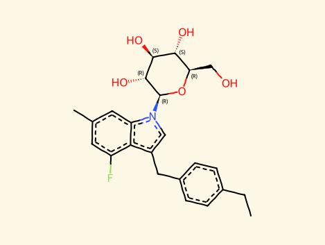 CCc1ccc(Cc2cn([C@@H]3O[C@H](CO)[C@@H](O)[C@H](O)[C@H]3O)c3cc(C)cc(F)c23)cc1